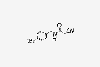 CC(C)(C)c1ccc(CNC(=O)CC#N)cc1